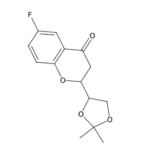 CC1(C)OCC(C2CC(=O)c3cc(F)ccc3O2)O1